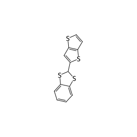 c1ccc2c(c1)SC(c1cc3sccc3s1)S2